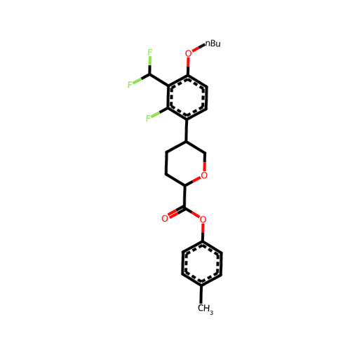 CCCCOc1ccc(C2CCC(C(=O)Oc3ccc(C)cc3)OC2)c(F)c1C(F)F